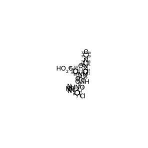 O=C(Nc1cc(Cl)ccc1-n1cnnn1)C(=O)NC(Cc1ccc(N2CCN(C3CCOCC3)CC2=O)cc1)C(=O)Nc1ccc(C(=O)O)cc1